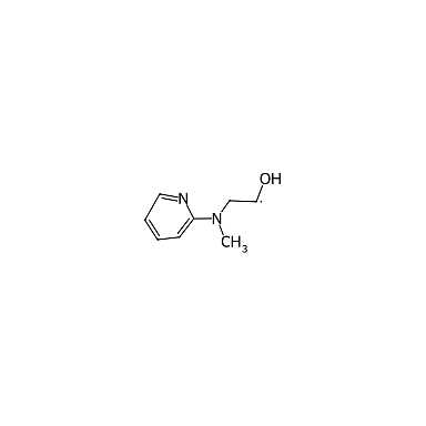 CN(C[CH]O)c1ccccn1